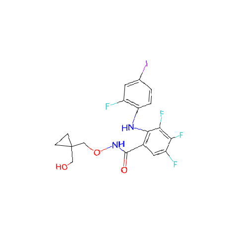 O=C(NOCC1(CO)CC1)c1cc(F)c(F)c(F)c1Nc1ccc(I)cc1F